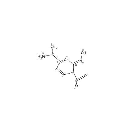 CCC(=O)C1C=CC(C(C)N)=C/C1=N\O